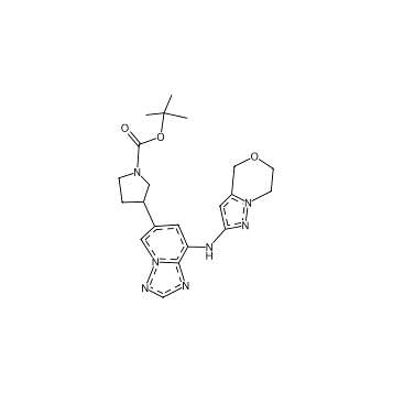 CC(C)(C)OC(=O)N1CCC(c2cc(Nc3cc4n(n3)CCOC4)c3ncnn3c2)C1